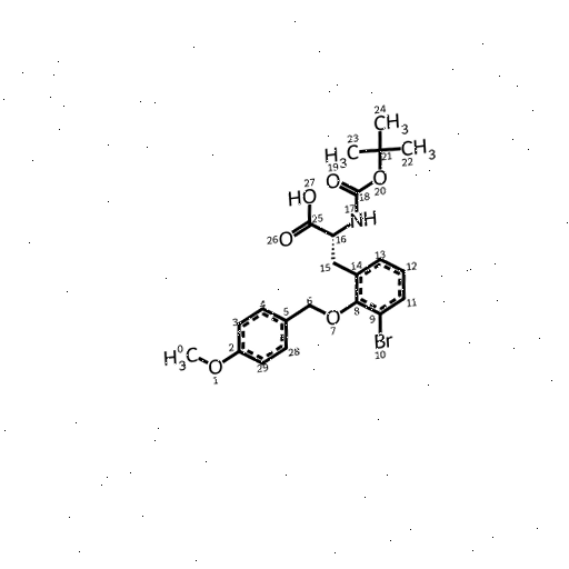 COc1ccc(COc2c(Br)cccc2C[C@@H](NC(=O)OC(C)(C)C)C(=O)O)cc1